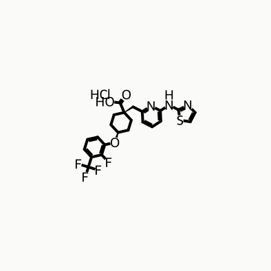 Cl.O=C(O)[C@]1(Cc2cccc(Nc3nccs3)n2)CC[C@@H](Oc2cccc(C(F)(F)F)c2F)CC1